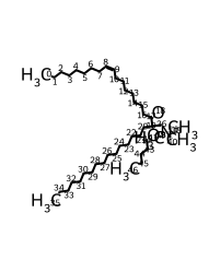 CCCCCCCC/C=C\CCCCCCCC(=O)C(CCCCCCCCCCCCCCCC)(C[N+](C)(C)C)OCCCCC